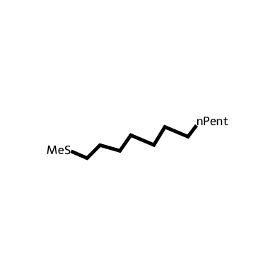 [CH2]CCCCCCCCCCCSC